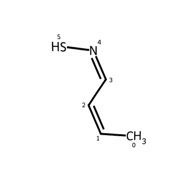 C/C=C\C=N/S